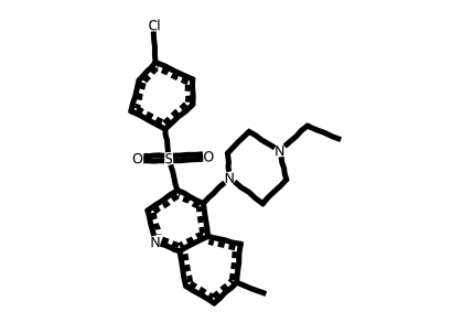 CCN1CCN(c2c(S(=O)(=O)c3ccc(Cl)cc3)cnc3ccc(C)cc23)CC1